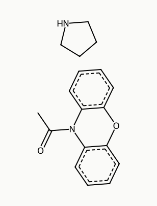 C1CCNC1.CC(=O)N1c2ccccc2Oc2ccccc21